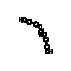 Oc1ccc(-c2ccc(Oc3ccnc(Oc4ccc(-c5ccc(O)cc5)cc4)n3)cc2)cc1